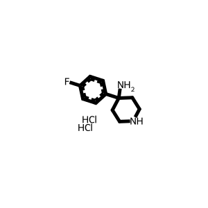 Cl.Cl.NC1(c2ccc(F)cc2)CCNCC1